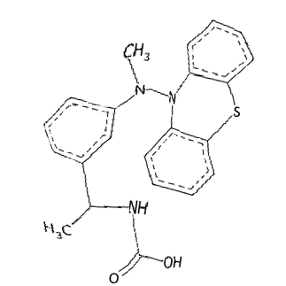 CC(NC(=O)O)c1cccc(N(C)N2c3ccccc3Sc3ccccc32)c1